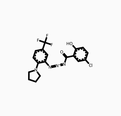 O=C(N=[N+]=Nc1cc(C(F)(F)F)ccc1N1CCCC1)c1cc(Cl)ccc1O